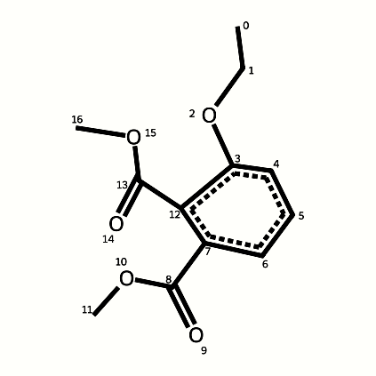 CCOc1cccc(C(=O)OC)c1C(=O)OC